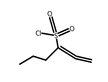 C=C=C(CCC)S(=O)(=O)Cl